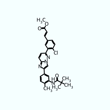 COC(=O)C=Cc1ccc(Cl)c(-c2ccc3nc(-c4ccc(C)c(NC(=O)C(C)(C)C)c4)cn3n2)c1